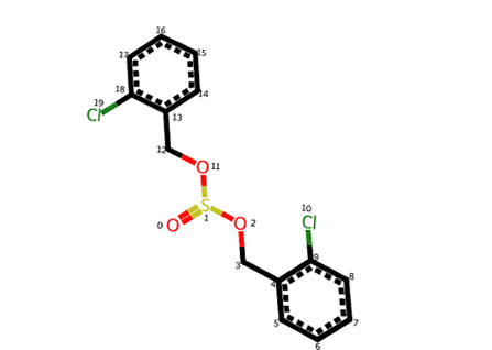 O=S(OCc1ccccc1Cl)OCc1ccccc1Cl